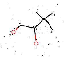 CC(C)(C)C([O])C[O]